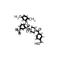 Cc1ccc(C)c(Oc2ccc([N+](=O)[O-])cc2S(=O)(=O)N2CCN(C(=O)c3ccc(CO)cc3)CC2)c1